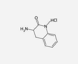 CN1C(=O)C(N)Cc2ccccc21.Cl